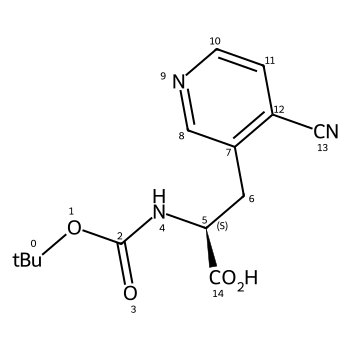 CC(C)(C)OC(=O)N[C@@H](Cc1cnccc1C#N)C(=O)O